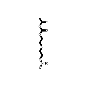 CC(Cl)OC(=O)OCCSCCO[N+](=O)[O-]